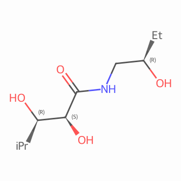 CC[C@@H](O)CNC(=O)[C@@H](O)[C@H](O)C(C)C